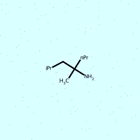 CCCC(C)(N)CC(C)C